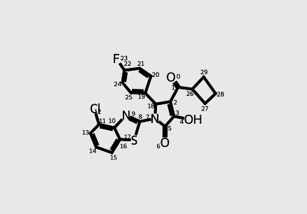 O=C(C1=C(O)C(=O)N(c2nc3c(Cl)cccc3s2)C1c1ccc(F)cc1)C1CCC1